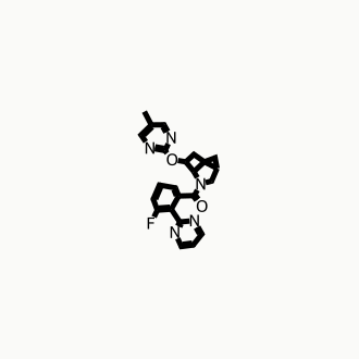 Cc1cnc(OC2CC34CC3CN(C(=O)c3cccc(F)c3-c3ncccn3)C24)nc1